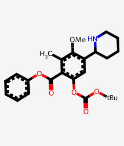 COc1c(C2CCCCN2)cc(OC(=O)OC(C)(C)C)c(C(=O)Oc2ccccc2)c1C